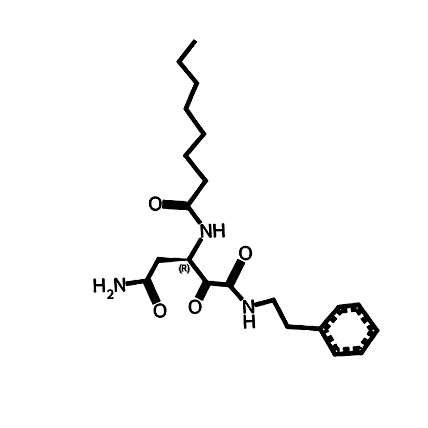 CCCCCCCC(=O)N[C@H](CC(N)=O)C(=O)C(=O)NCCc1ccccc1